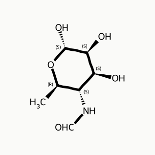 C[C@H]1O[C@H](O)[C@@H](O)[C@@H](O)[C@@H]1NC=O